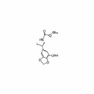 COc1cc(C(I)CNC(=O)OC(C)(C)C)cc2c1OCO2